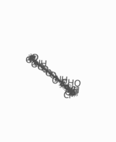 O=CC1C(CCNC(=O)CCOCCOCCOCCOCCNC(=O)CCN2C(=O)C=CC2=O)CCC1c1ccc(NC(=O)c2c(Cl)cccc2Cl)cc1